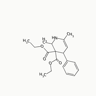 CCOC(=O)C1(C(=O)OCC)C(C)NC(C)=CC1c1ccccc1